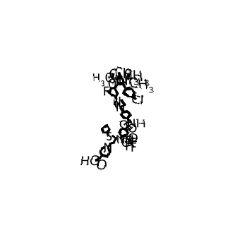 Cc1c(S(C)(=O)=O)c(-c2cc(F)cc(N3CCN(c4ccc(NS(=O)(=O)c5ccc(NC(CCN6CCC(C(=O)O)CC6)CSc6ccccc6)c(S(=O)(=O)C(F)(F)F)c5)cc4)CC3)c2)c(-c2ccc(Cl)cc2)n1C(C)C